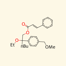 CCCCC(COC(=O)C=Cc1ccccc1)(OCC)c1ccc(COC)cc1